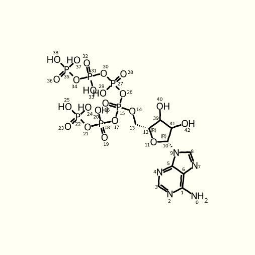 Nc1ncnc2c1ncn2[C@@H]1O[C@H](COP(=O)(OP(=O)(O)OP(=O)(O)O)OP(=O)(O)OP(=O)(O)OP(=O)(O)O)C(O)C1O